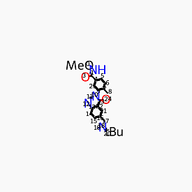 CONC(=O)c1ccc(C)c(-n2cnc3ccc(CN(C)C(C)(C)C)cc3c2=O)c1